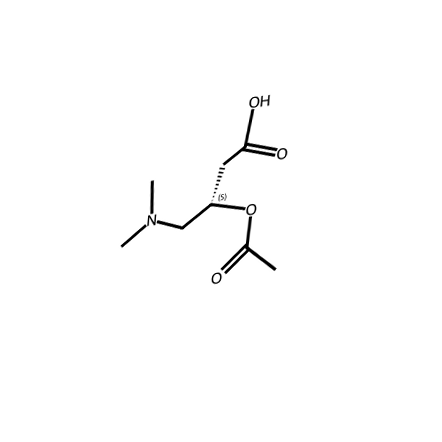 CC(=O)O[C@@H](CC(=O)O)CN(C)C